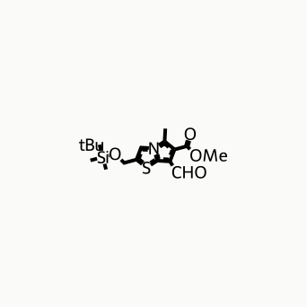 COC(=O)c1c(C=O)c2sc(CO[Si](C)(C)C(C)(C)C)cn2c1C